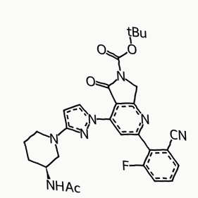 CC(=O)N[C@H]1CCCN(c2ccn(-c3cc(-c4c(F)cccc4C#N)nc4c3C(=O)N(C(=O)OC(C)(C)C)C4)n2)C1